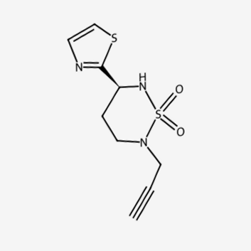 C#CCN1CC[C@@H](c2nccs2)NS1(=O)=O